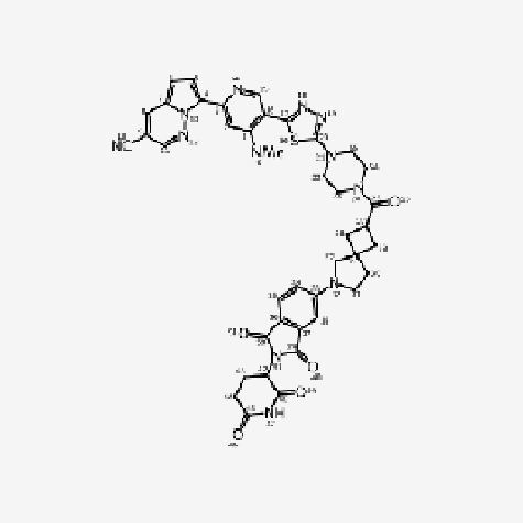 CNc1cc(-c2ccc3cc(C#N)cnn23)ncc1-c1nnc(N2CCN(C(=O)C3CC4(CCN(c5ccc6c(c5)C(=O)N(C5CCC(=O)NC5=O)C6=O)C4)C3)CC2)s1